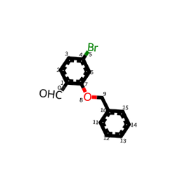 O=Cc1ccc(Br)cc1OCc1ccccc1